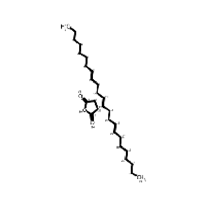 CCCCCCCCCCCCCCCCCCCCCCCC.O=C1CCC(=O)O1